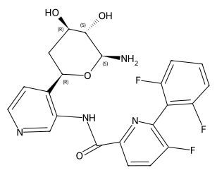 N[C@H]1O[C@@H](c2ccncc2NC(=O)c2ccc(F)c(-c3c(F)cccc3F)n2)C[C@@H](O)[C@@H]1O